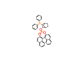 c1ccc(P(c2ccccc2)C2C3CCC(C3)C2Op2oc3ccc4ccccc4c3c3c(ccc4ccccc43)o2)cc1